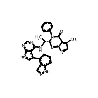 CC1=C2C(=O)N(c3ccccc3)[C@@H](C(C)Nc3ncnc4[nH]cc(-c5cccc6[nH]ncc56)c34)N=C2N=C1